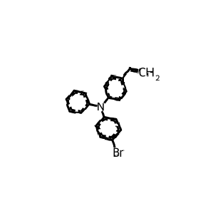 C=Cc1ccc(N(c2ccccc2)c2ccc(Br)cc2)cc1